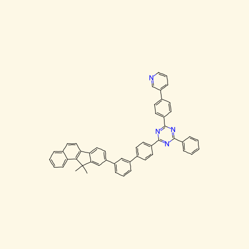 CC1(C)c2cc(-c3cccc(-c4ccc(-c5nc(-c6ccccc6)nc(-c6ccc(-c7cccnc7)cc6)n5)cc4)c3)ccc2-c2ccc3ccccc3c21